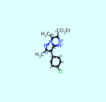 CCOC(=O)c1nnc2c(-c3ccc(Cl)cc3)c(C)nn2c1C